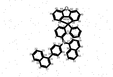 c1ccc(C2(c3cccc(N(c4ccc(-c5cccc6ccccc56)cc4)c4cccc5ccccc45)c3)c3cccc4oc5cccc2c5c34)cc1